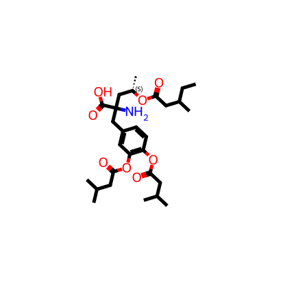 CCC(C)CC(=O)O[C@@H](C)CC(N)(Cc1ccc(OC(=O)CC(C)C)c(OC(=O)CC(C)C)c1)C(=O)O